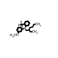 CCCCC(CC)CN(c1cccc(OC)c1)c1ccccc1C(F)(F)F